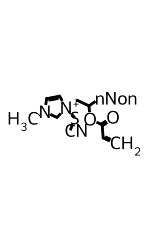 C=CC(=O)OC(CCCCCCCCC)C[N+]1(SC#N)C=CN(C)C1